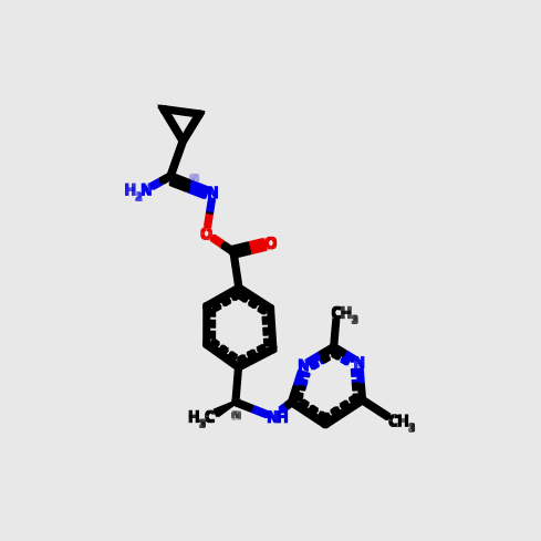 Cc1cc(N[C@@H](C)c2ccc(C(=O)O/N=C(\N)C3CC3)cc2)nc(C)n1